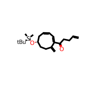 C=CCCC(=O)/C1=C/C=C\C[C@@H](O[Si](C)(C)C(C)(C)C)CCC1=C